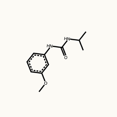 COc1cccc(NC(=O)NC(C)C)c1